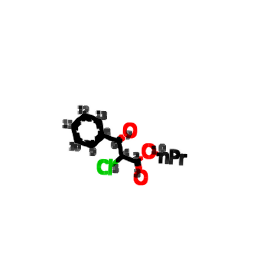 CCCOC(=O)C(Cl)C(=O)c1ccccc1